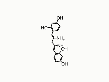 NC(=Cc1ccc(O)cc1O)CC(N)=Cc1ccc(O)cc1O